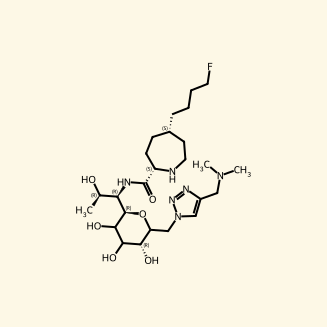 C[C@@H](O)[C@@H](NC(=O)[C@@H]1CC[C@H](CCCCF)CCN1)[C@H]1OC(Cn2cc(CN(C)C)nn2)[C@H](O)C(O)C1O